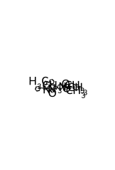 CC(C)c1ccccc1C1CN(CCc2ccccc2)CC(=O)N1C1CC2(CCN(C(=O)OC(C)(C)C)CC2)C1